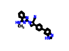 CNc1nc(N2CC(c3ccc(-c4ccc5nc[nH]c5c4)cc3)C2C#N)nc2ccccc12